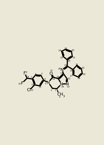 C[C@H]1CN(c2ccc(C(F)F)c(Cl)c2)C(=O)c2c(N=C(c3ccccc3)c3ccccc3)cnn21